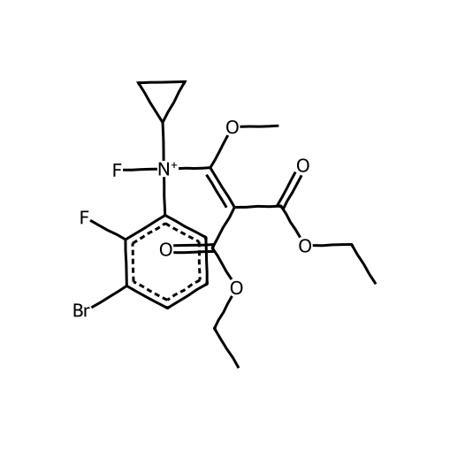 CCOC(=O)C(C(=O)OCC)=C(OC)[N+](F)(c1cccc(Br)c1F)C1CC1